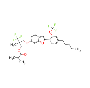 C=C(C)C(=O)OCC(C)(COc1ccc2cc(-c3ccc(CCCCC)cc3OC(F)(F)F)oc2c1)C(F)(F)F